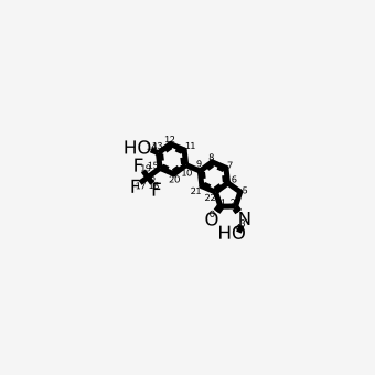 O=C1/C(=N\O)Cc2ccc(-c3ccc(O)c(C(F)(F)F)c3)cc21